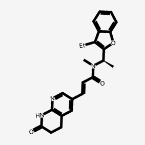 CCc1c([C@@H](C)N(C)C(=O)/C=C/c2cnc3c(c2)CCC(=O)N3)oc2ccccc12